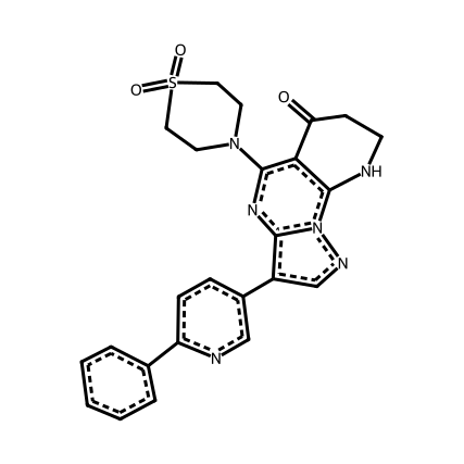 O=C1CCNc2c1c(N1CCS(=O)(=O)CC1)nc1c(-c3ccc(-c4ccccc4)nc3)cnn21